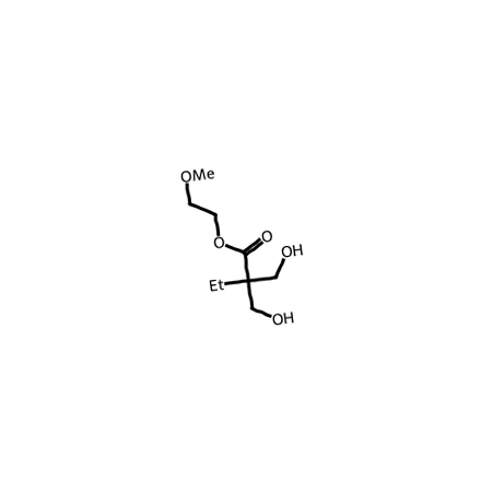 CCC(CO)(CO)C(=O)OCCOC